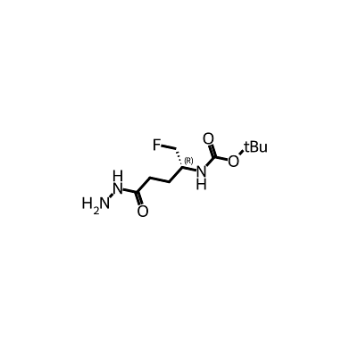 CC(C)(C)OC(=O)N[C@@H](CF)CCC(=O)NN